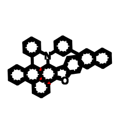 c1cc(-c2ccc3ccccc3c2)cc(N(c2ccccc2-c2cc3ccccc3c3ccccc23)c2cccc3oc4ccccc4c23)c1